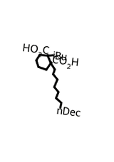 CCCCCCCCCCCCCCCCCC1(C(=O)O)CCCCC1(C(=O)O)C(C)CC